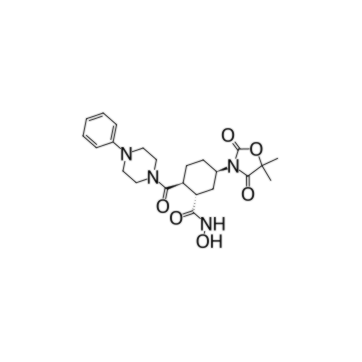 CC1(C)OC(=O)N([C@@H]2CC[C@H](C(=O)N3CCN(c4ccccc4)CC3)[C@@H](C(=O)NO)C2)C1=O